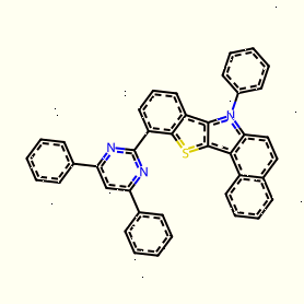 c1ccc(-c2cc(-c3ccccc3)nc(-c3cccc4c3sc3c5c6ccccc6ccc5n(-c5ccccc5)c43)n2)cc1